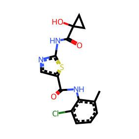 Cc1cccc(Cl)c1NC(=O)c1cnc(NC(=O)C2(O)CC2)s1